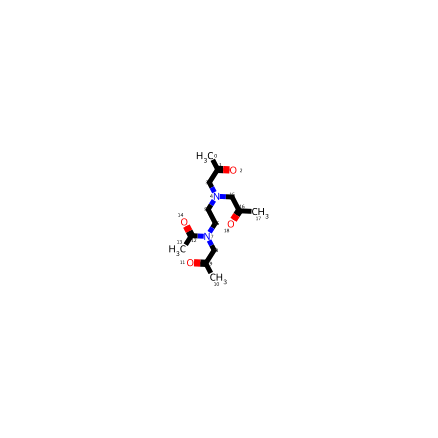 CC(=O)CN(CCN(CC(C)=O)C(C)=O)CC(C)=O